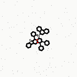 c1ccc(-c2ccc(N(c3ccccc3-c3cccc4c3sc3ccccc34)c3cc4ccccc4c4ccccc34)cc2-c2ccccc2)cc1